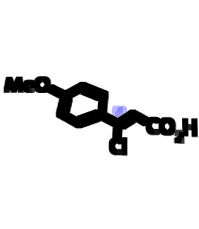 COc1ccc(/C(Cl)=C/C(=O)O)cc1